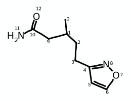 CC(CCc1ccon1)CC(N)=O